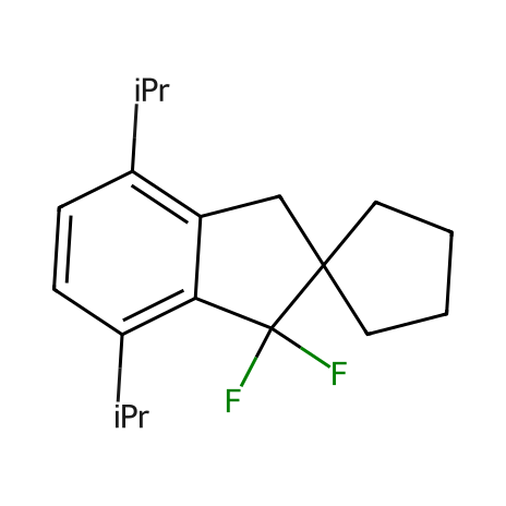 CC(C)c1ccc(C(C)C)c2c1CC1(CCCC1)C2(F)F